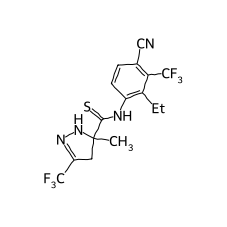 CCc1c(NC(=S)C2(C)CC(C(F)(F)F)=NN2)ccc(C#N)c1C(F)(F)F